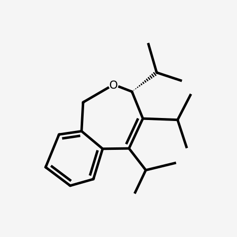 CC(C)C1=C(C(C)C)[C@@H](C(C)C)OCc2ccccc21